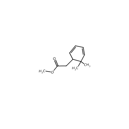 COC(=O)CC1C=CC=CC1(C)C